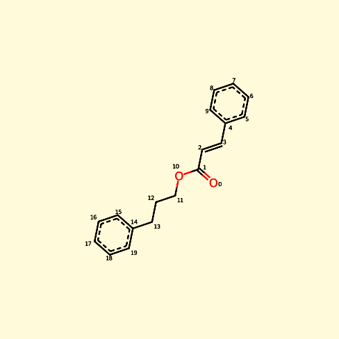 O=C(/C=C/c1ccccc1)OCCCc1ccccc1